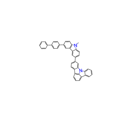 Cn1c2ccc(-c3ccc(-c4ccccc4)cc3)cc2c2cc(-c3ccc4c5cccc6c7ccccc7n(c4c3)c65)ccc21